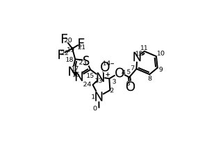 CN1CC(OC(=O)c2ccccn2)[N+]([O-])(c2nnc(C(F)(F)F)s2)C1